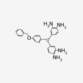 Nc1ccc(C2C(c3ccc(OCc4ccccc4)cc3)C2c2ccc(N)c(N)c2)cc1N